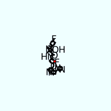 CC1=C(C(=O)Nc2ccc(Oc3ccnn4ccc(-c5cnccn5)c34)c(F)c2)C(O)N(c2ccc(F)cc2)N1C